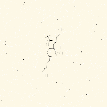 CCCCC[C@@]1(O)C[C@H](NC(=O)C(F)(F)F)[C@](O)(CCCCC)[C@@H](C)O1